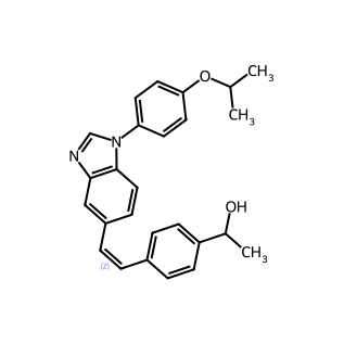 CC(C)Oc1ccc(-n2cnc3cc(/C=C\c4ccc(C(C)O)cc4)ccc32)cc1